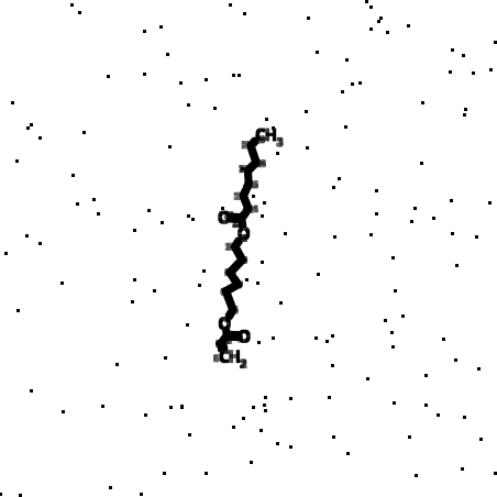 C=CC(=O)OCCCCCCOC(=O)CCCCCCC